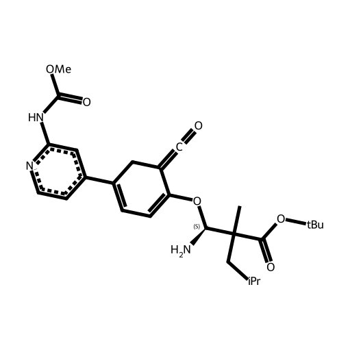 COC(=O)Nc1cc(C2=CC=C(O[C@H](N)C(C)(CC(C)C)C(=O)OC(C)(C)C)C(=C=O)C2)ccn1